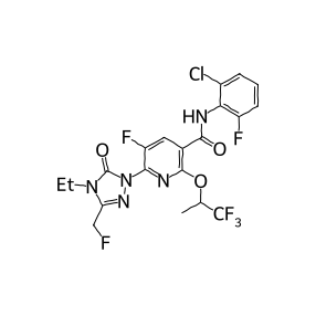 CCn1c(CF)nn(-c2nc(OC(C)C(F)(F)F)c(C(=O)Nc3c(F)cccc3Cl)cc2F)c1=O